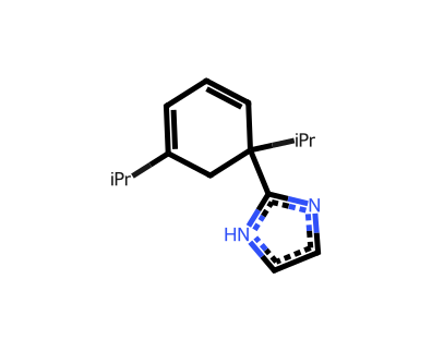 CC(C)C1=CC=CC(c2ncc[nH]2)(C(C)C)C1